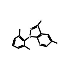 Cc1cnc2c(c1)c(C)nn2-c1c(C)cccc1C